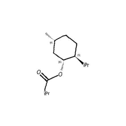 CC(C)C(=O)O[C@@H]1C[C@H](C)CC[C@H]1C(C)C